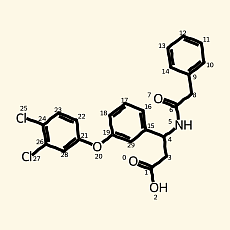 O=C(O)CC(NC(=O)Cc1ccccc1)c1cccc(Oc2ccc(Cl)c(Cl)c2)c1